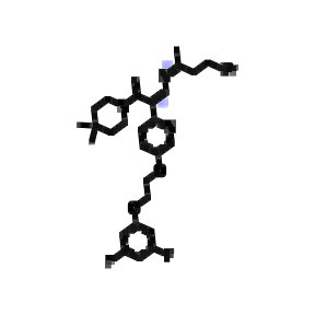 C=C(/C(=C\N=C(\C)CCC(C)C)c1ccc(OCCOc2cc(F)cc(F)c2)cn1)N1CCC(C)(C)CC1